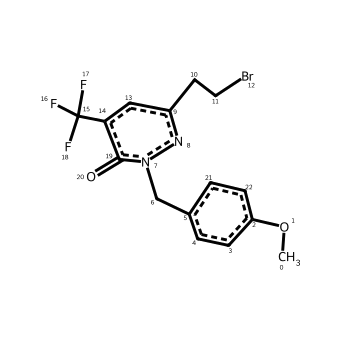 COc1ccc(Cn2nc(CCBr)cc(C(F)(F)F)c2=O)cc1